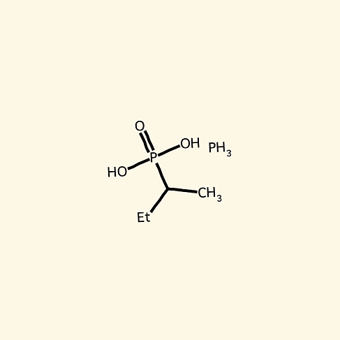 CCC(C)P(=O)(O)O.P